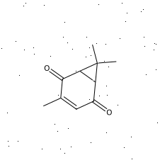 CC1=CC(=O)C2C(C1=O)C2(C)C